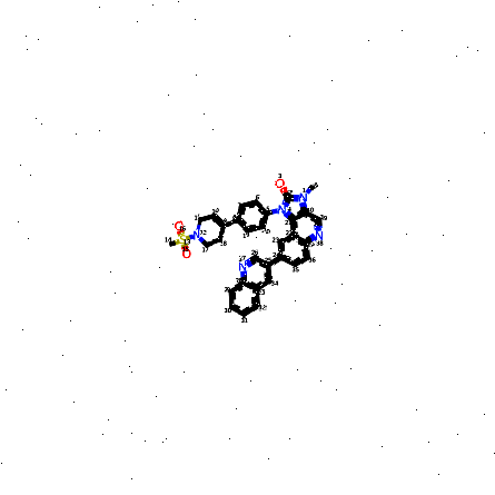 Cn1c(=O)n(-c2ccc(C3=CCN(S(C)(=O)=O)CC3)cc2)c2c3cc(-c4cnc5ccccc5c4)ccc3ncc21